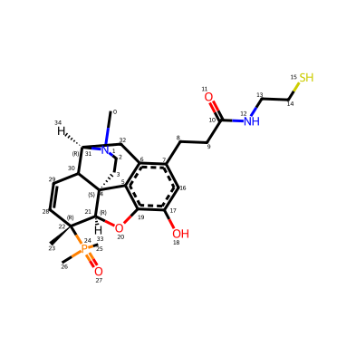 CN1CC[C@]23c4c5c(CCC(=O)NCCS)cc(O)c4O[C@H]2[C@](C)(P(C)(C)=O)C=CC3[C@H]1C5